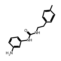 Cc1ccc(CCNC(=O)Nc2cccc(N)c2)cc1